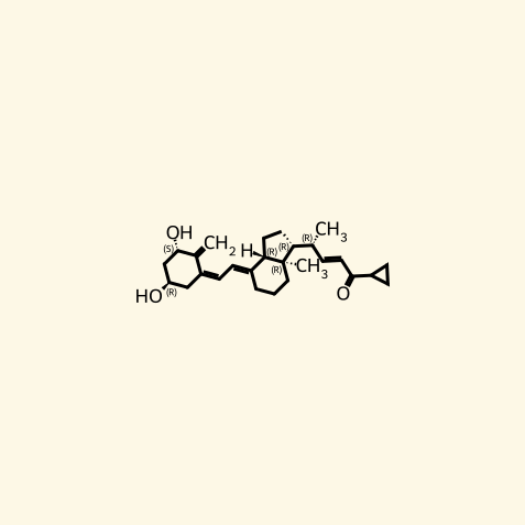 C=C1C(=CC=C2CCC[C@]3(C)[C@@H]([C@H](C)C=CC(=O)C4CC4)CC[C@@H]23)C[C@@H](O)C[C@@H]1O